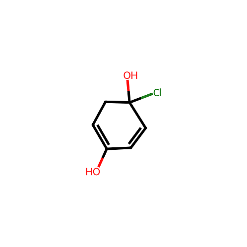 OC1=CCC(O)(Cl)C=C1